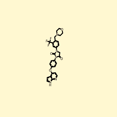 O=C1CN(c2ccc(CN3CCOCC3)c(C(F)(F)F)c2)C(=O)N1c1ccc(Oc2ccnc3[nH]ccc23)cc1